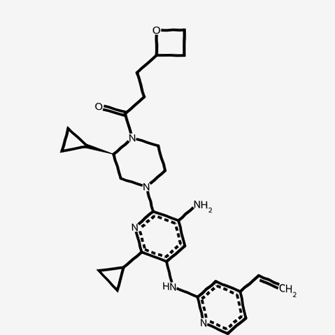 C=Cc1ccnc(Nc2cc(N)c(N3CCN(C(=O)CCC4CCO4)[C@H](C4CC4)C3)nc2C2CC2)c1